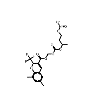 Cc1cc(C)c2c(c1)C=C(C(=O)OCOC(=O)OC(C)CCO[N+](=O)[O-])C(C(F)(F)F)O2